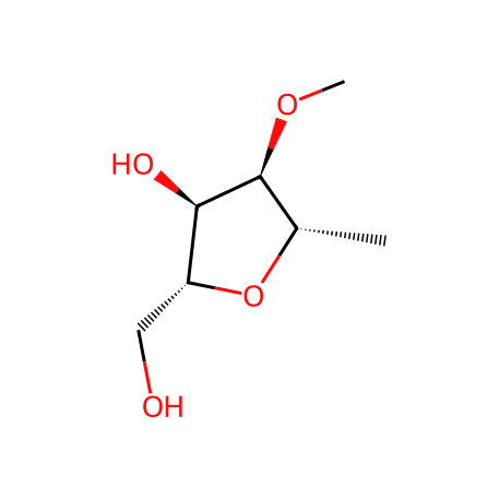 CO[C@@H]1[C@H](O)[C@@H](CO)O[C@H]1C